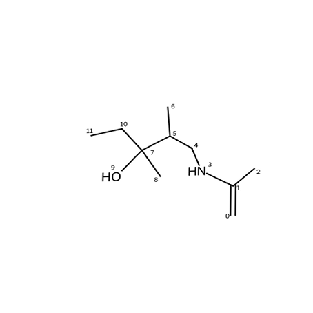 C=C(C)NCC(C)C(C)(O)CC